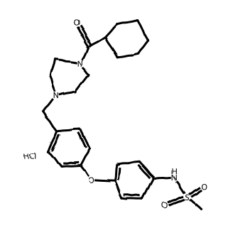 CS(=O)(=O)Nc1ccc(Oc2ccc(CN3CCN(C(=O)C4CCCCC4)CC3)cc2)cc1.Cl